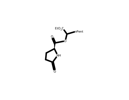 CCCCCC(OC(=O)[C@@H]1CCC(=O)N1)C(=O)OCC